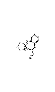 OCC1Cc2ccccc2OC2(CCCCC2)O1